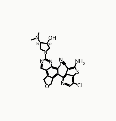 CN(C)[C@@H]1CN(c2ncc3c4c(c(-c5ncc(Cl)c6sc(N)c(C#N)c56)c(F)c3n2)COC4)C[C@@H]1O